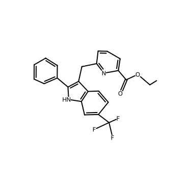 CCOC(=O)c1cccc(Cc2c(-c3ccccc3)[nH]c3cc(C(F)(F)F)ccc23)n1